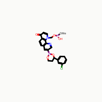 COP(O)OCn1ccc(=O)c2ccc3cc(P4OCCC(C5=CCC=CC(Cl)=C5)O4)cnc3c21